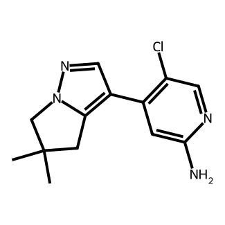 CC1(C)Cc2c(-c3cc(N)ncc3Cl)cnn2C1